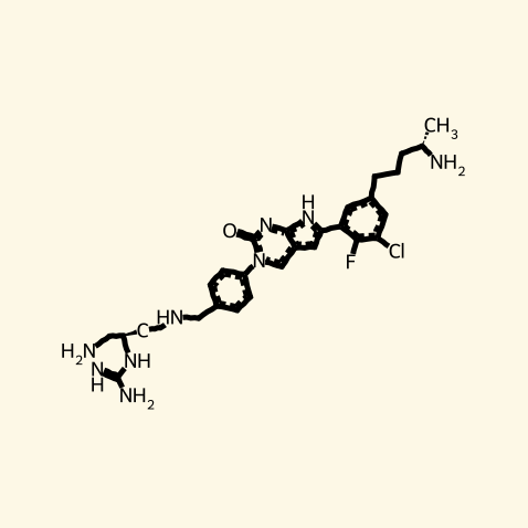 C[C@H](N)CCCc1cc(Cl)c(F)c(-c2cc3cn(-c4ccc(CNCC[C@H](CN)NC(=N)N)cc4)c(=O)nc3[nH]2)c1